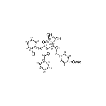 COc1ccc(CO[C@@H]2[C@H](O)[C@H](C)OC(Sc3ccccc3Cl)[C@H]2OCc2ccccc2)cc1